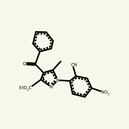 CCOC(=O)c1nn(-c2ccc([N+](=O)[O-])cc2C#N)c(C)c1C(=O)c1ccccc1